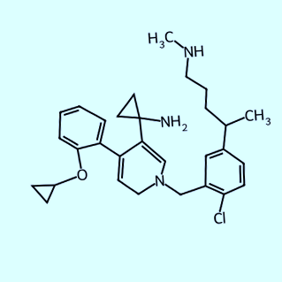 CNCCCC(C)c1ccc(Cl)c(CN2C=C(C3(N)CC3)C(c3ccccc3OC3CC3)=CC2)c1